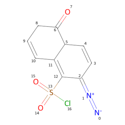 [N-]=[N+]=C1C=CC2C(=O)CC=CC2=C1S(=O)(=O)Cl